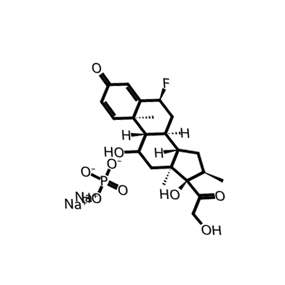 C[C@@H]1C[C@H]2[C@@H]3C[C@H](F)C4=CC(=O)C=C[C@]4(C)[C@H]3C(O)C[C@]2(C)[C@@]1(O)C(=O)CO.O=P([O-])([O-])O.[Na+].[Na+]